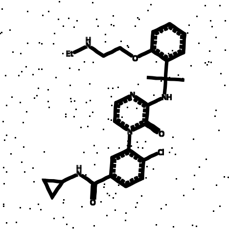 CCNCCOc1ccccc1C(C)(C)Nc1nccn(-c2cc(C(=O)NC3CC3)ccc2Cl)c1=O